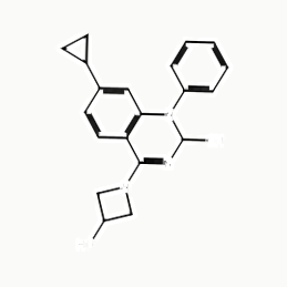 OC1CN(C2=NC(O)N(c3ccccc3)c3cc(C4CC4)ccc32)C1